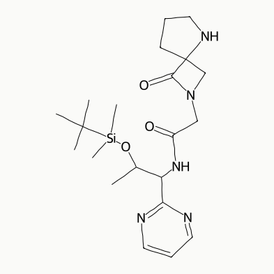 CC(O[Si](C)(C)C(C)(C)C)C(NC(=O)CN1CC2(CCCN2)C1=O)c1ncccn1